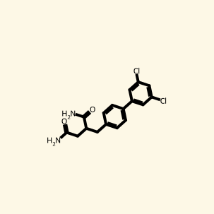 NC(=O)CC(Cc1ccc(-c2cc(Cl)cc(Cl)c2)cc1)C(N)=O